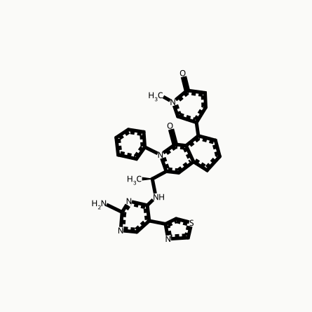 C[C@H](Nc1nc(N)ncc1-c1cscn1)c1cc2cccc(-c3ccc(=O)n(C)c3)c2c(=O)n1-c1ccccc1